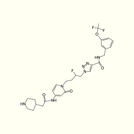 CC(F)(F)Oc1cccc(CNC(=O)c2cn(CC(F)CCn3ccc(NC(=O)CC4CCNCC4)cc3=O)nn2)c1